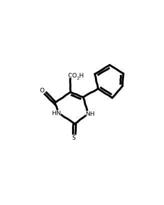 O=C(O)c1c(-c2ccccc2)[nH]c(=S)[nH]c1=O